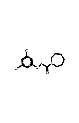 O=C(NOc1cc(Cl)cc(Cl)c1)N1CCCCCC1